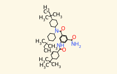 CCC(C)(C)[C@H]1CC[C@@H](N(C(=O)c2cc(NC(=O)C3CCC(C(C)(C)C)CC3)cc(C(N)=O)c2)[C@H]2CC[C@@H](C(C)(C)CC)CC2)CC1